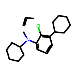 C=CC.CN(c1cccc(C2CCCCC2)c1Cl)C1CCCCC1